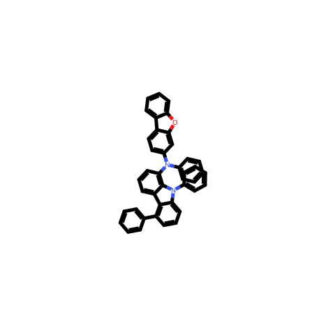 c1ccc(-c2cccc3c2c2cccc(N(c4ccccc4)c4ccc5c(c4)oc4ccccc45)c2n3-c2ccccc2)cc1